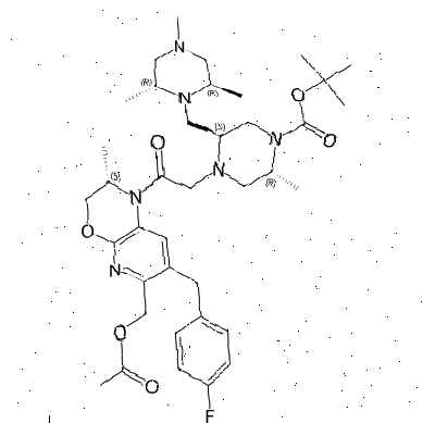 CC(=O)OCc1nc2c(cc1Cc1ccc(F)cc1)N(C(=O)CN1C[C@@H](C)N(C(=O)OC(C)(C)C)C[C@@H]1CN1[C@H](C)CN(C)C[C@H]1C)[C@@H](C)CO2